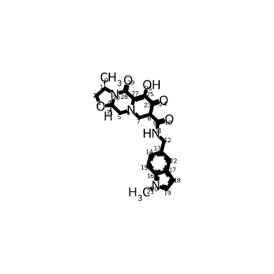 C[C@H]1CO[C@@H]2CN3CC(C(=O)NCc4ccc5c(ccn5C)c4)C(=O)C(O)=C3C(=O)N12